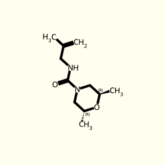 C=C(C)CNC(=O)N1C[C@@H](C)O[C@H](C)C1